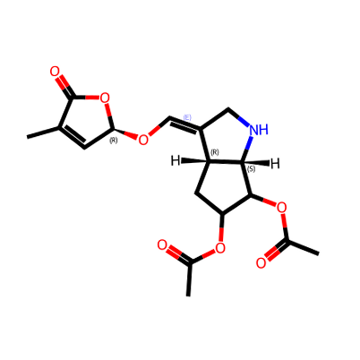 CC(=O)OC1C[C@@H]2/C(=C\O[C@H]3C=C(C)C(=O)O3)CN[C@@H]2C1OC(C)=O